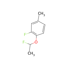 Cc1ccc(OC(C)F)c(F)c1